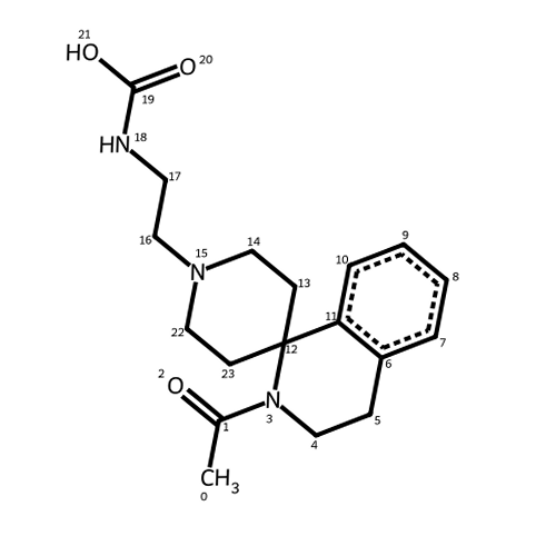 CC(=O)N1CCc2ccccc2C12CCN(CCNC(=O)O)CC2